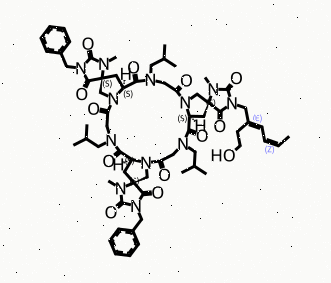 C/C=C\C=C(/CCO)CN1C(=O)N(C)[C@]2(C[C@H]3C(=O)N(CC(C)C)CC(=O)N4C[C@@]5(C[C@H]4C(=O)N(CC(C)C)CC(=O)N4C[C@@]6(C[C@H]4C(=O)N(CC(C)C)CC(=O)N3C2)C(=O)N(Cc2ccccc2)C(=O)N6C)C(=O)N(Cc2ccccc2)C(=O)N5C)C1=O